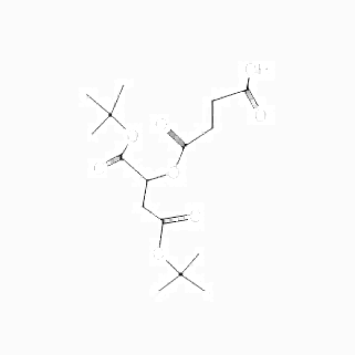 CC(C)(C)OC(=O)CC(OC(=O)CCC(=O)O)C(=O)OC(C)(C)C